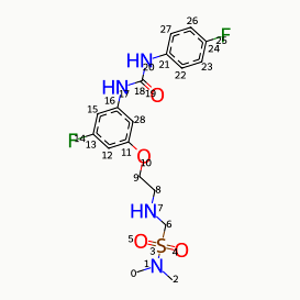 CN(C)S(=O)(=O)CNCCOc1cc(F)cc(NC(=O)Nc2ccc(F)cc2)c1